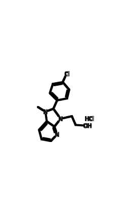 CN1c2cccnc2N(CCO)C1c1ccc(Cl)cc1.Cl